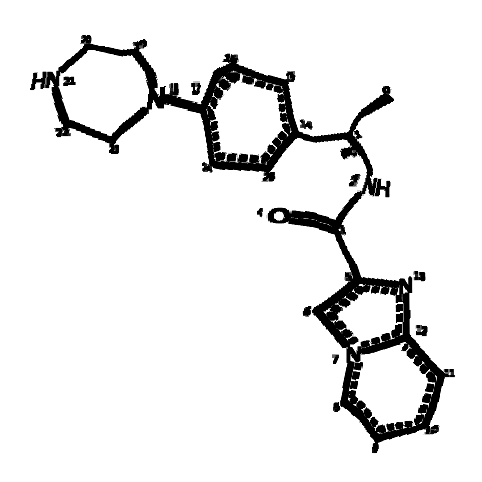 C[C@@H](NC(=O)c1cn2ccccc2n1)c1ccc(N2CCNCC2)cc1